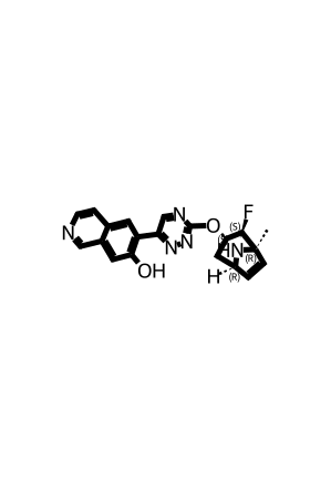 C[C@@]12C=C[C@@H](C[C@H](Oc3ncc(-c4cc5ccncc5cc4O)nn3)[C@H]1F)N2